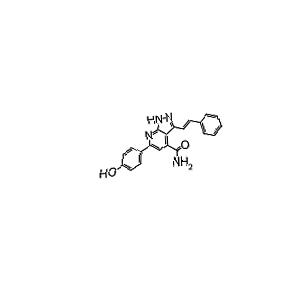 NC(=O)c1cc(-c2ccc(O)cc2)nc2[nH]nc(/C=C/c3ccccc3)c12